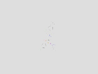 N#Cc1ccc(S(=O)(=O)N2CC(CNCC(F)(F)F)[C@@H](S(=O)(=O)c3ccc(Cl)cc3)C2)c(Cl)c1